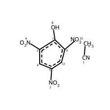 CC#N.O=[N+]([O-])c1cc([N+](=O)[O-])c(O)c([N+](=O)[O-])c1